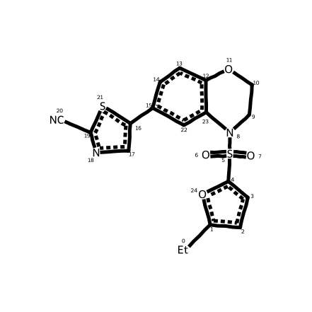 CCc1ccc(S(=O)(=O)N2CCOc3ccc(-c4cnc(C#N)s4)cc32)o1